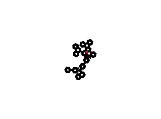 c1ccc(-c2ccc(N(c3ccc(-c4ccc5c(c4)c4cc(-c6cc7ccccc7c7ccccc67)ccc4n5-c4ccccc4-c4ccc5c6ccccc6c6ccccc6c5c4)cc3)c3cccc4ccccc34)cc2)cc1